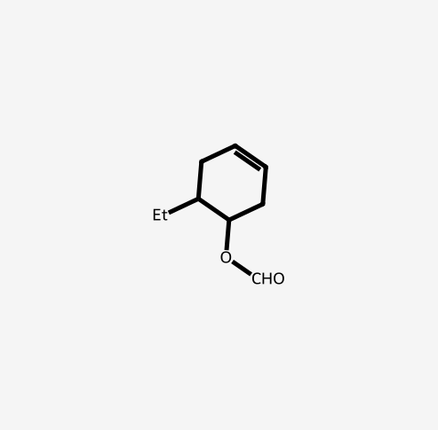 CCC1CC=CCC1OC=O